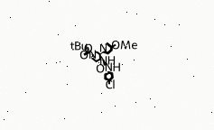 COc1ccc([C@@H]2CN(C(=O)OC(C)(C)C)CC[C@H]2NC(=O)Nc2ccc(Cl)cc2)nc1